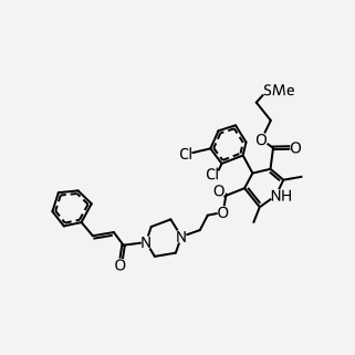 CSCCOC(=O)C1=C(C)NC(C)=C(C(=O)OCCN2CCN(C(=O)C=Cc3ccccc3)CC2)C1c1cccc(Cl)c1Cl